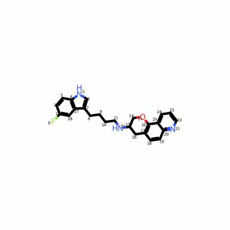 Fc1ccc2[nH]cc(CCCCNC3COc4c(ccc5ncccc45)C3)c2c1